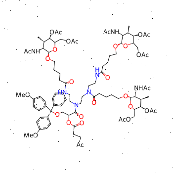 COc1ccc(C(OCC(OC(=O)CCC(C)=O)C(=O)N(CCNC(=O)CCCCO[C@@H]2OC(COC(C)=O)[C@H](OC(C)=O)[C@H](C)C2NC(C)=O)CCN(CCNC(=O)CCCCO[C@@H]2OC(COC(C)=O)[C@H](OC(C)=O)[C@H](C)C2NC(C)=O)C(=O)CCCCO[C@@H]2OC(COC(C)=O)[C@H](OC(C)=O)[C@H](C)C2NC(C)=O)(c2ccccc2)c2ccc(OC)cc2)cc1